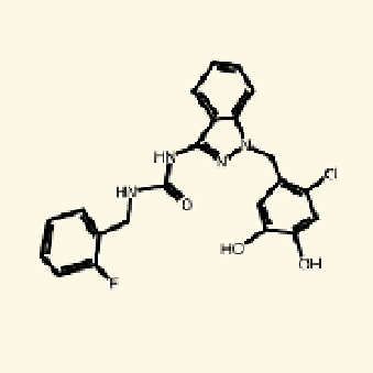 O=C(NCc1ccccc1F)Nc1nn(Cc2cc(O)c(O)cc2Cl)c2ccccc12